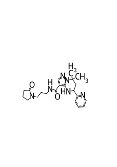 CC1(C)CC(c2ccccn2)Nc2c(C(=O)NCCCN3CCCC3=O)cnn21